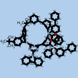 CC(C)(C)c1ccc2c(c1)c1cc3ccc1n2-c1nc(nc(-n2c4ccccc4c4ccccc42)n1)-c1cc(S(c2ccccc2)(c2ccccc2)c2cccc(-c4ccccc4)c2)cc(c1)S(c1ccccc1)(c1cccc(-c2ccccc2)c1)c1cccc(c1)-c1cccc(c1)C3(C)C